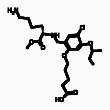 CCC(C)Oc1cc(OCCCCC(=O)O)c(CN[C@@H](CCCCN)C(=O)OC)cc1Cl